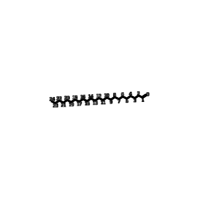 C=CCCCCCCCCCCCCCCCCCCCCCCC